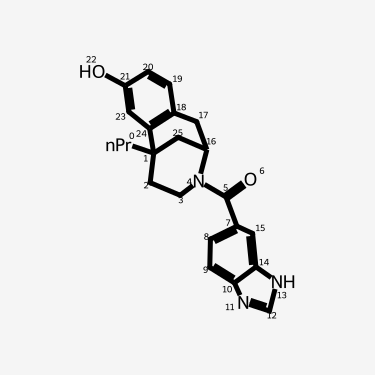 CCCC12CCN(C(=O)c3ccc4nc[nH]c4c3)C(Cc3ccc(O)cc31)C2